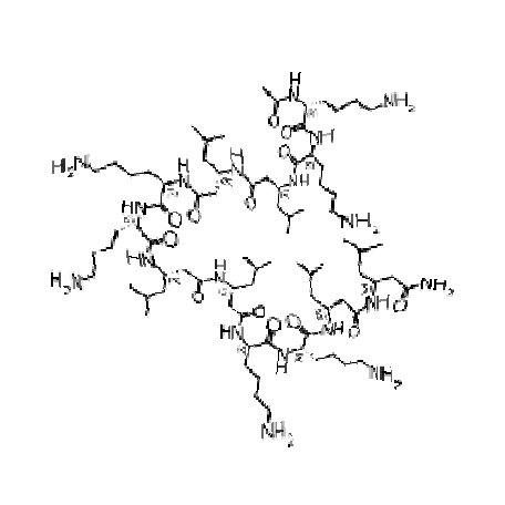 CC(=O)N[C@H](CCCCN)C(=O)N[C@@H](CCCCN)C(=O)N[C@H](CC(=O)N[C@H](CC(=O)N[C@H](CCCCN)C(=O)N[C@@H](CCCCN)C(=O)N[C@H](CC(=O)N[C@H](CC(=O)N[C@H](CCCCN)C(=O)N[C@@H](CCCCN)C(=O)N[C@H](CC(=O)N[C@H](CC(N)=O)CC(C)C)CC(C)C)CC(C)C)CC(C)C)CC(C)C)CC(C)C